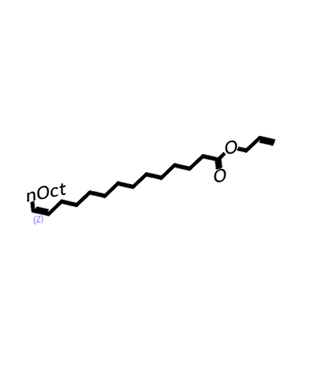 C=CCOC(=O)CCCCCCCCCCC/C=C\CCCCCCCC